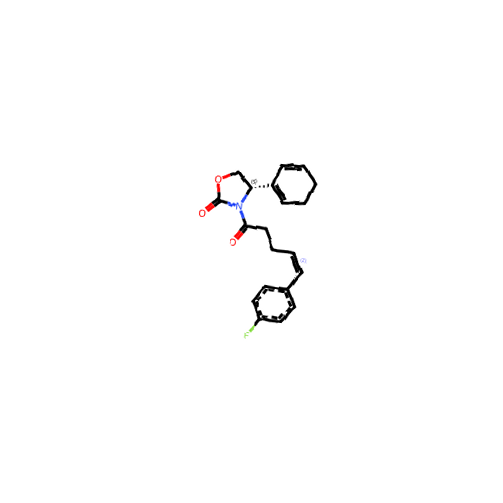 O=C(CC/C=C\c1ccc(F)cc1)N1C(=O)OC[C@@H]1C1=CCCC=C1